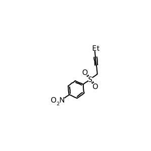 CCC#CCS(=O)(=O)c1ccc([N+](=O)[O-])cc1